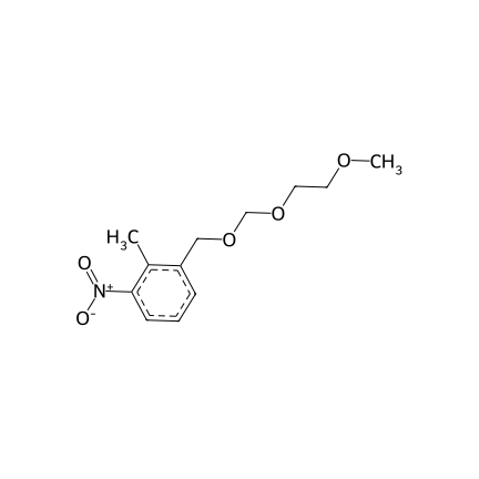 COCCOCOCc1cccc([N+](=O)[O-])c1C